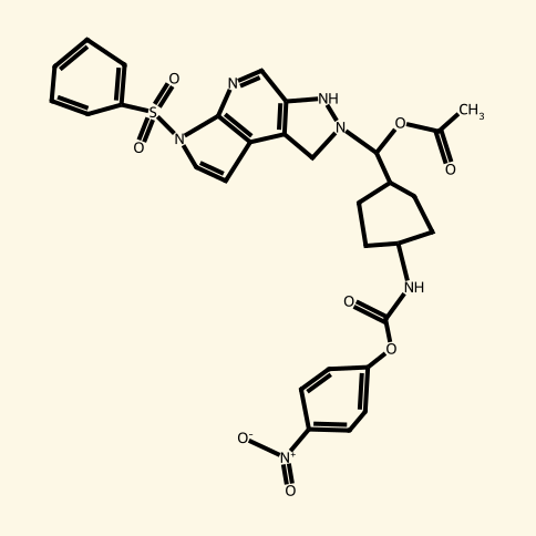 CC(=O)OC(C1CCC(NC(=O)Oc2ccc([N+](=O)[O-])cc2)CC1)N1Cc2c(cnc3c2ccn3S(=O)(=O)c2ccccc2)N1